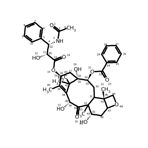 CC(=O)N[C@@H](c1ccccc1)[C@@H](O)C(=O)O[C@H]1C[C@@]2(O)[C@@H](OC(=O)c3ccccc3)CC3C(C)(C(=O)[C@H](O)C(=C1C)C2(C)C)[C@@H](O)CC1OC[C@]13C